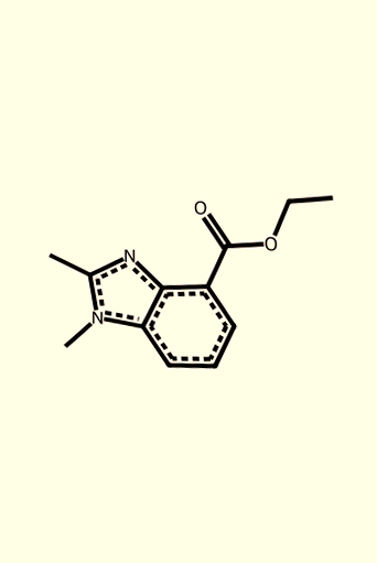 CCOC(=O)c1cccc2c1nc(C)n2C